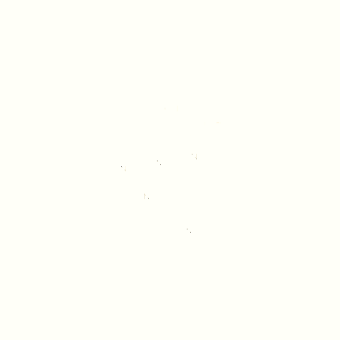 CCCCCC(CO)Nc1nc(N)nc2cnccc12